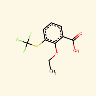 CCOc1c(SC(F)(F)F)cccc1C(=O)O